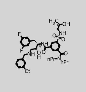 CCCN(CCC)C(=O)c1cc(C(=O)N[C@@H](Cc2cc(F)cc(F)c2)[C@H](O)CNCc2cccc(CC)c2)cc(S(=O)(=O)NC[C@@H](C)O)c1